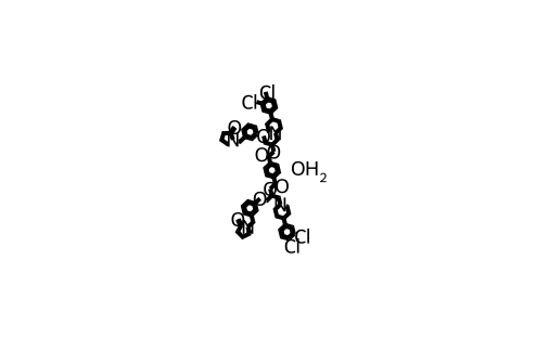 O.O=C(OC(COc1cccc(CN2CCCC2=O)c1)CN1CCC(c2ccc(Cl)c(Cl)c2)CC1)c1ccc(C(=O)OC(COc2cccc(CN3CCCC3=O)c2)CN2CCC(c3ccc(Cl)c(Cl)c3)CC2)cc1